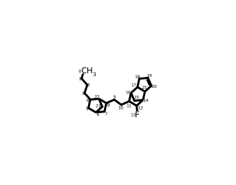 CCCCC1CC2CC(CCC3C(F)C4CC3C3CC=CC43)C1C2